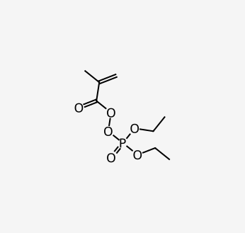 C=C(C)C(=O)OOP(=O)(OCC)OCC